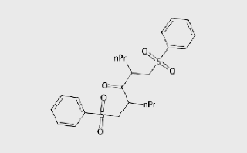 CCCC(CS(=O)(=O)c1ccccc1)C(=O)C(CCC)CS(=O)(=O)c1ccccc1